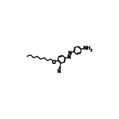 CCCCCCCCOc1ccc(/N=N/c2ccc(N)cc2)cc1C#N